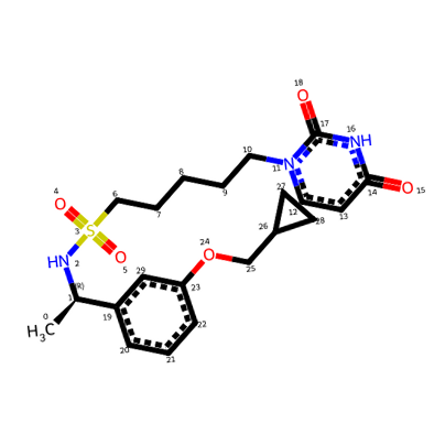 C[C@@H](NS(=O)(=O)CCCCCn1ccc(=O)[nH]c1=O)c1cccc(OCC2CC2)c1